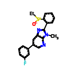 CC[S+]([O-])c1ccccc1-c1nc2cc(-c3cccc(F)c3)cnc2n1C